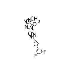 Cn1cnc2ncn(Cc3nc(C4C5C=C(c6cc(F)cc(F)c6)CC54)no3)c(=O)c21